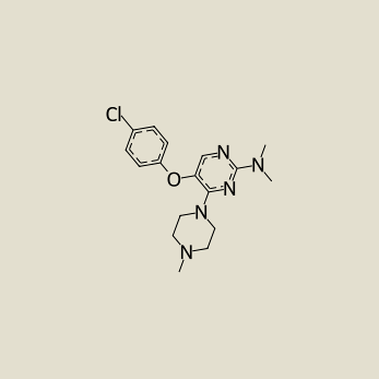 CN1CCN(c2nc(N(C)C)ncc2Oc2ccc(Cl)cc2)CC1